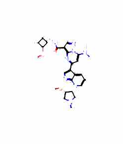 CNc1cc(-c2cnc3n([C@@H]4CN(C)C[C@H]4OC)cccc2-3)nc2c(C(=O)N[C@H]3CC[C@@H]3OC)cnn12